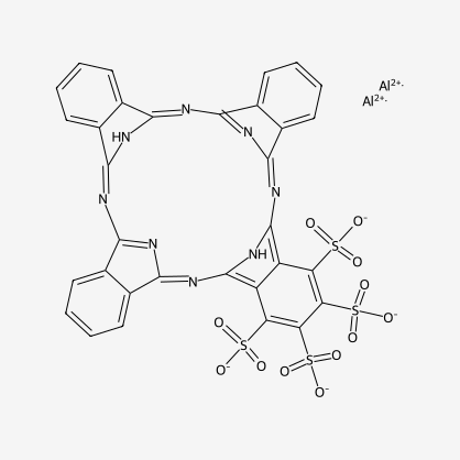 O=S(=O)([O-])c1c(S(=O)(=O)[O-])c(S(=O)(=O)[O-])c2c3nc4nc(nc5[nH]c(nc6nc(nc([nH]3)c2c1S(=O)(=O)[O-])-c1ccccc1-6)c1ccccc51)-c1ccccc1-4.[Al+2].[Al+2]